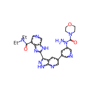 CCN(CC)C(=O)c1cncc2[nH]c(-c3n[nH]c4ncc(-c5cncc(N(N)C(=O)N6CCOCC6)c5)cc34)nc12